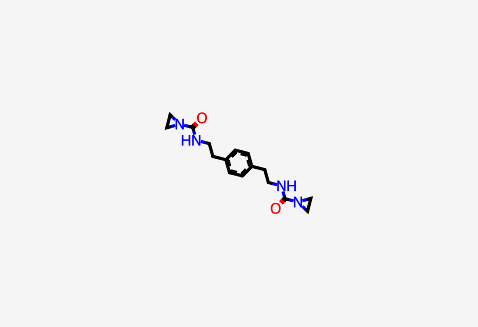 O=C(NCCc1ccc(CCNC(=O)N2CC2)cc1)N1CC1